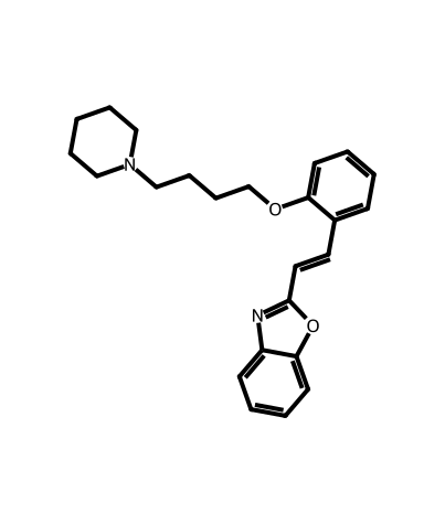 C(=Cc1ccccc1OCCCCN1CCCCC1)c1nc2ccccc2o1